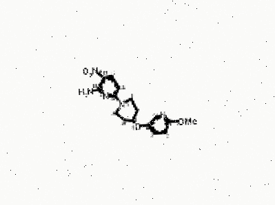 COc1ccc(OC2CCN(c3ccc([N+](=O)[O-])c(N)n3)CC2)cn1